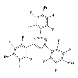 CC(C)c1c(F)c(F)c(-c2cc(-c3c(F)c(F)c(C(C)C)c(F)c3F)cc(-c3c(F)c(F)c(C(C)(C)C)c(F)c3F)c2)c(F)c1F